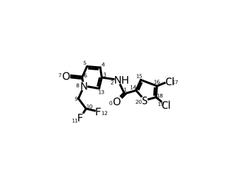 O=C(Nc1ccc(=O)n(CC(F)F)c1)c1cc(Cl)c(Cl)s1